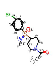 CCN=S(=O)(c1ccc(Br)cc1)C1CCN(C(=O)C(F)(F)F)CC1